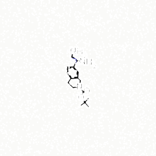 CC(C)(C)OC(=O)N1CCc2ccc(/C(N)=C/N)cc2C1